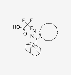 C1CCCCn2c(nnc2C23CC4CC(CC(C4)C2)C3)CCC1.O=C(O)C(F)(F)F